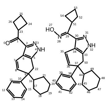 O=C(c1n[nH]c2c1C=CC(c1ccccc1)(C1CCCCC1)C2)C1CCC1.ON=C(c1n[nH]c2c1C=CC(c1ccccc1)(C1CCCCC1)C2)C1CCC1